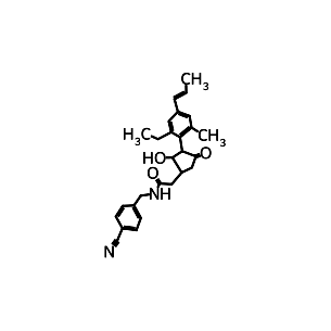 C/C=C/c1cc(C)c(C2C(=O)CC(CC(=O)NCc3ccc(C#N)cc3)C2O)c(CC)c1